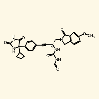 COc1ccc2c(c1)C(=O)N(C[C@@H](C#Cc1ccc(C3(C4CCC4)NC(=O)NC3=O)cc1)NC(=O)NC=O)C2